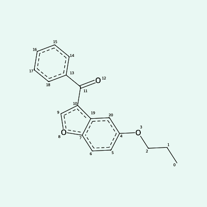 CCCOc1ccc2occ(C(=O)c3ccccc3)c2c1